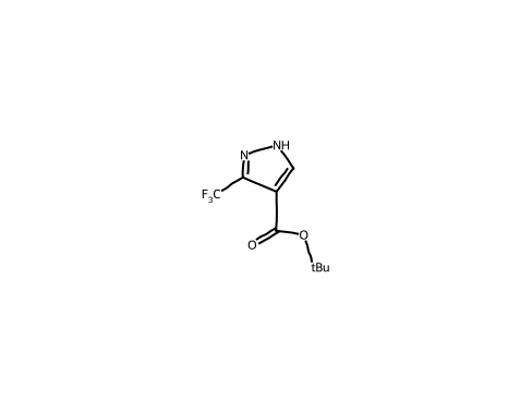 CC(C)(C)OC(=O)c1c[nH]nc1C(F)(F)F